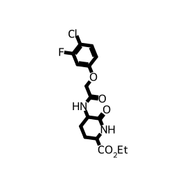 CCOC(=O)C1CCC(NC(=O)COc2ccc(Cl)c(F)c2)C(=O)N1